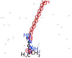 CCCN(OCC)C(=O)C1=Cc2ccc(-c3ccc(C(=O)N4CCC[C@H]4C(=O)NCCOCCOCCOCCOCCOCCOCCOCCOCCOCCOCCC(=O)O)nc3)cc2N=C(N)C1